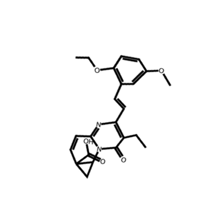 CCOc1ccc(OC)cc1/C=C/c1nc2n(c(=O)c1CC)C1CC1(C(=O)O)C=C2